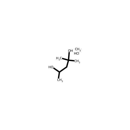 CC(O)CC(C)(C)O.Cl.[CH3]